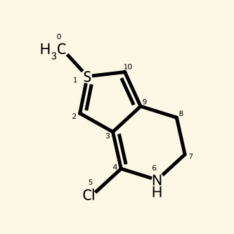 CS1=CC2=C(Cl)NCCC2=C1